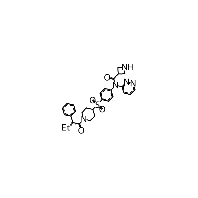 CC[C@H](C(=O)N1CCC(S(=O)(=O)c2ccc(N(C(=O)C3CNC3)c3cccnn3)cc2)CC1)c1ccccc1